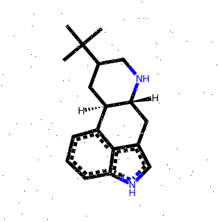 CC(C)(C)C1CN[C@@H]2Cc3c[nH]c4cccc(c34)[C@H]2C1